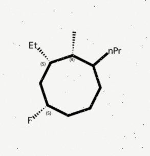 CCCC1CCC[C@H](F)C[C@H](CC)[C@@H]1C